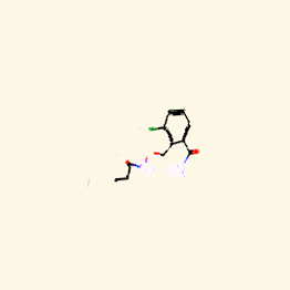 CCC(=O)NOCc1c(Cl)cccc1C(=O)NBr